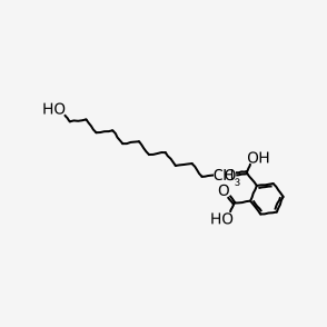 CCCCCCCCCCCCO.O=C(O)c1ccccc1C(=O)O